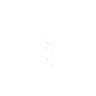 CC(=O)Oc1ccn(CC(F)F)n1